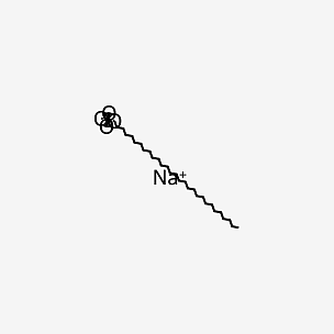 CCCCCCCCCCCCCCCCCCCCCCCCCCCCOS(=O)(=O)[O-].[Na+]